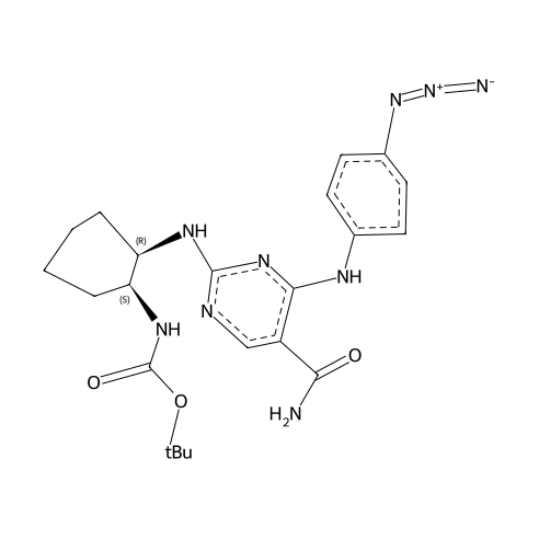 CC(C)(C)OC(=O)N[C@H]1CCCC[C@H]1Nc1ncc(C(N)=O)c(Nc2ccc(N=[N+]=[N-])cc2)n1